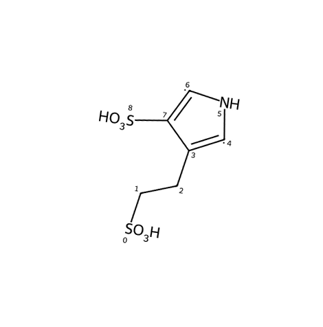 O=S(=O)(O)CCc1[c][nH][c]c1S(=O)(=O)O